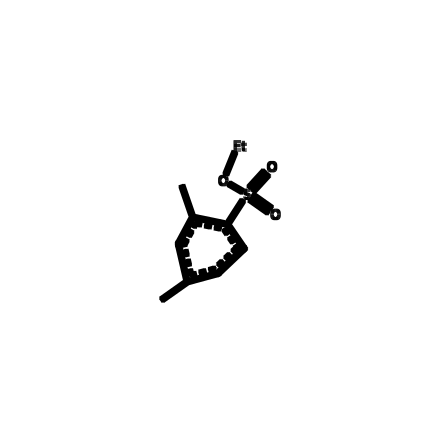 CCOS(=O)(=O)c1ccc(C)cc1C